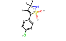 CC1=C(c2ccc(Cl)cc2)S(=O)(=O)NC1(C)C